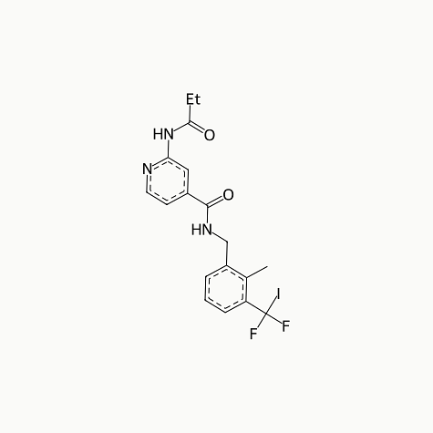 CCC(=O)Nc1cc(C(=O)NCc2cccc(C(F)(F)I)c2C)ccn1